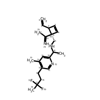 C=CC1C=C[C@@]1(CNC(C)c1cc(C)c(CCC(C)(F)F)cn1)C(=N)N